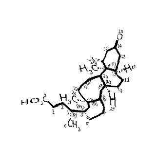 C[C@H](CCC(=O)O)[C@H]1CCC2[C@@H]3CC[C@@H]4CC(=O)CC[C@]4(C)C3CC[C@@]21C